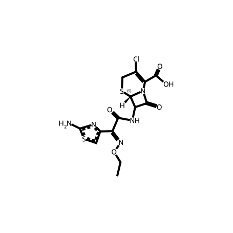 CCON=C(C(=O)NC1C(=O)N2C(C(=O)O)=C(Cl)CS[C@@H]12)c1csc(N)n1